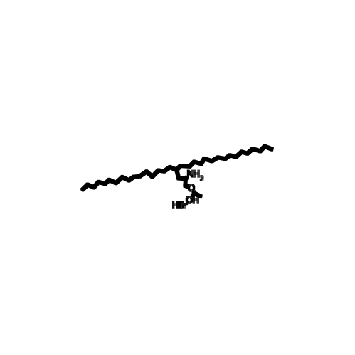 Br.CCCCCCCCCCCCCCCCC(CCCCCCCCCCCCCCCC)CC(N)COC(C)O